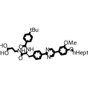 CCCCCCCOc1ccc(-c2cnc(-c3ccc(C[C@H](NC(=O)c4ccc(C(C)(C)C)cc4)C(=O)NCCC(O)O)cc3)nc2)cc1OC